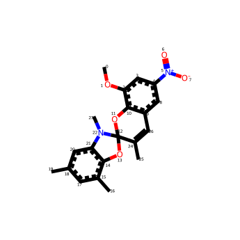 COc1cc([N+](=O)[O-])cc2c1OC1(Oc3c(C)cc(C)cc3N1C)C(C)=C2